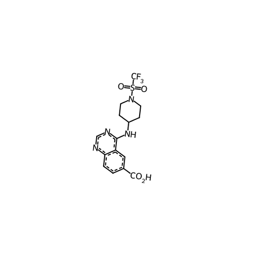 O=C(O)c1ccc2ncnc(NC3CCN(S(=O)(=O)C(F)(F)F)CC3)c2c1